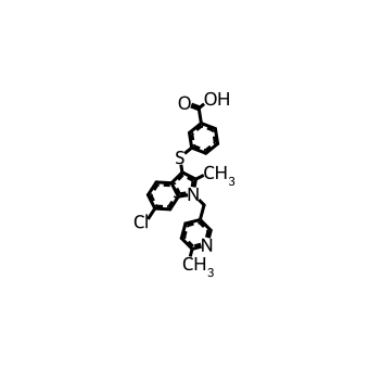 Cc1ccc(Cn2c(C)c(Sc3cccc(C(=O)O)c3)c3ccc(Cl)cc32)cn1